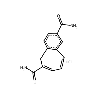 Cl.NC(=O)C1=CC=Nc2cc(C(N)=O)ccc2C1